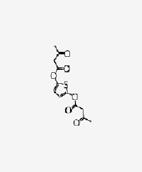 CC(=O)CC(=O)Oc1ccc(OC(=O)CC(C)=O)s1